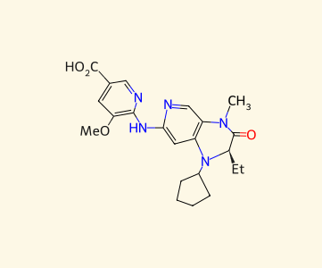 CC[C@@H]1C(=O)N(C)c2cnc(Nc3ncc(C(=O)O)cc3OC)cc2N1C1CCCC1